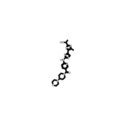 Cc1nc(C(C)O)sc1-c1csc(Nc2ccc(C(=O)N3CCC(N4CCOCC4)CC3)cn2)n1